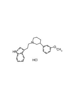 COc1cccc(C2CCCN(CCc3c[nH]c4ccccc34)C2)c1.Cl